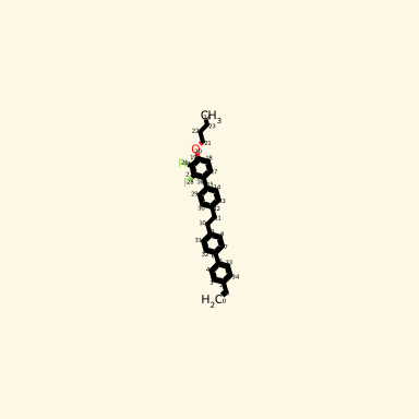 C=Cc1ccc(-c2ccc(CCc3ccc(-c4ccc(OCCCC)c(F)c4F)cc3)cc2)cc1